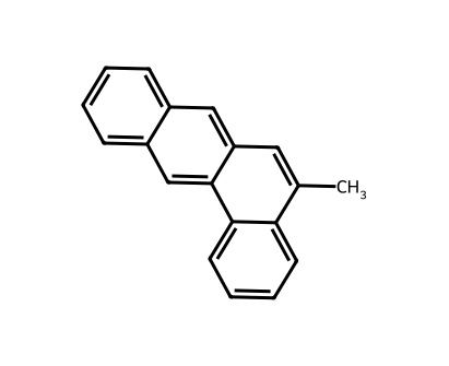 Cc1cc2cc3ccccc3cc2c2ccccc12